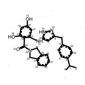 CC(C)c1ccc(Cc2cc(Nc3cc(O)cc(O)c3C(=O)N3Cc4ccccc4C3)[nH]n2)cc1